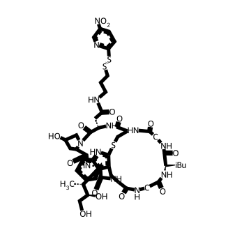 CC[C@H](C)[C@@H]1NC(=O)CNC(=O)C2Cc3c([nH]c4ccccc34)SCC(NC(=O)CNC1=O)C(=O)N[C@@H](CC(=O)NCCCSSc1ccc([N+](=O)[O-])cn1)C(=O)N1CC(O)CC1C(=O)N[C@@H]([C@@H](C)[C@@H](O)CO)C(=O)N2